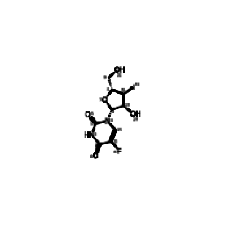 O=c1[nH]c(=O)n([C@@H]2O[C@H](CO)[C@@H](I)[C@H]2O)cc1F